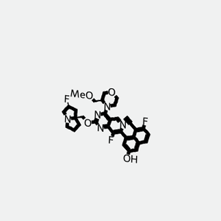 C#Cc1c(F)ccc2cc(O)cc(-c3ncc4c(N5CCOC[C@@H]5COC)nc(OC[C@@]56CCCN5C[C@H](F)C6)nc4c3F)c12